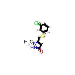 Cn1[nH]c(=O)cc1CSc1cccc(Cl)c1